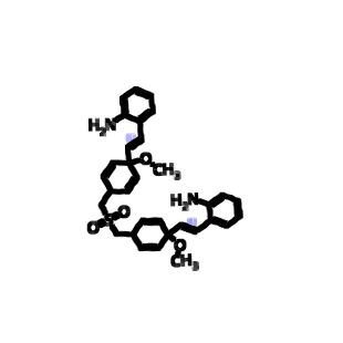 COC1(/C=C/c2ccccc2N)C=CC(CS(=O)(=O)CC2C=CC(/C=C/c3ccccc3N)(OC)C=C2)C=C1